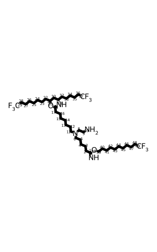 N=C(CCCCCN(CCN)CCCCCCCC(=N)OC(CCCCCCCC(F)(F)F)CCCCCCCC(F)(F)F)OCCCCCCCCCCC(F)(F)F